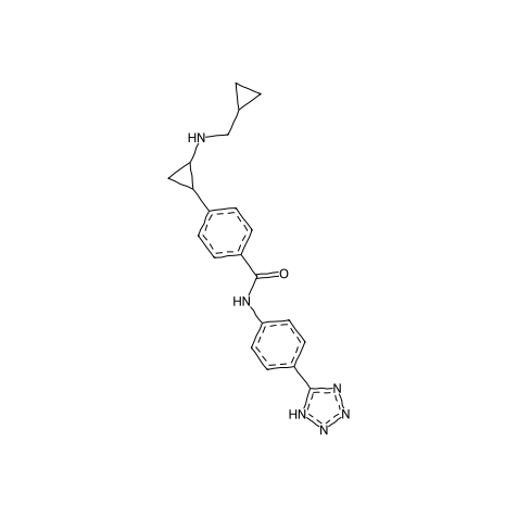 O=C(Nc1ccc(-c2nnn[nH]2)cc1)c1ccc(C2CC2NCC2CC2)cc1